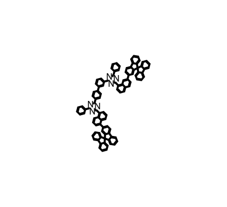 c1ccc(-c2nc(-c3cccc(-c4ccc(-c5nc(-c6ccccc6)nc(-c6cccc7c(-c8ccc9c(c8)C8(c%10ccccc%10-c%10ccccc%108)c8ccccc8-9)cccc67)n5)cc4)c3)nc(-c3cccc4ccc(-c5ccc6c(c5)C5(c7ccccc7-c7ccccc75)c5ccccc5-6)cc34)n2)cc1